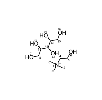 C[N+](C)(C)CCO.OC[C@@H](O)[C@H](O)[C@@H](O)CO